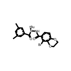 Cc1cc(C)cc(C(=O)N(NC(=O)c2ccc3c(c2Br)OCCO3)C(C)(C)C)c1